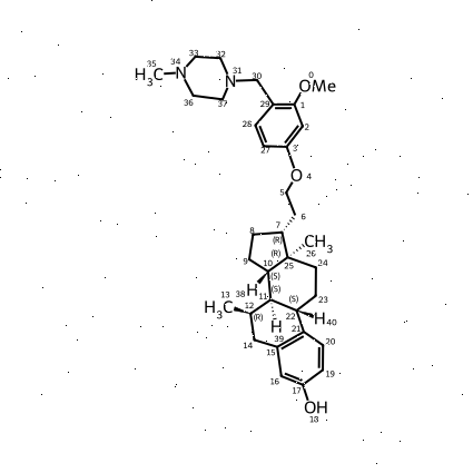 COc1cc(OCC[C@H]2CC[C@H]3[C@@H]4[C@H](C)Cc5cc(O)ccc5[C@H]4CC[C@]23C)ccc1CN1CCN(C)CC1